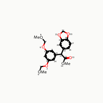 COCOc1cc(OCOC)cc(C(C(=O)OC)c2ccc3c(c2)OCO3)c1